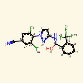 N#Cc1cc(F)c(-n2ccc(NC(O)c3ccccc3C(F)(F)F)n2)c(F)c1